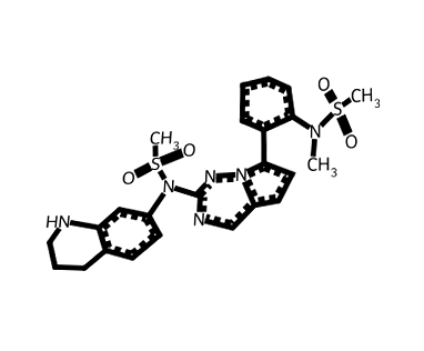 CN(c1ccccc1-c1ccc2cnc(N(c3ccc4c(c3)NCCC4)S(C)(=O)=O)nn12)S(C)(=O)=O